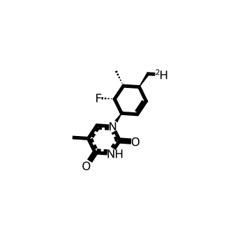 [2H]C[C@H]1C=C[C@@H](n2cc(C)c(=O)[nH]c2=O)[C@H](F)[C@@H]1C